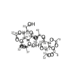 CC(=O)O[C@@H]1[C@@H](OC(C)=O)[C@H](C(C)=O)O[C@H](C(O)O[C@H]2O[C@H](CO)[C@@H](OC(C)=O)[C@H](OC(C)=O)[C@H]2OC(C)=O)[C@H]1OC(C)=O